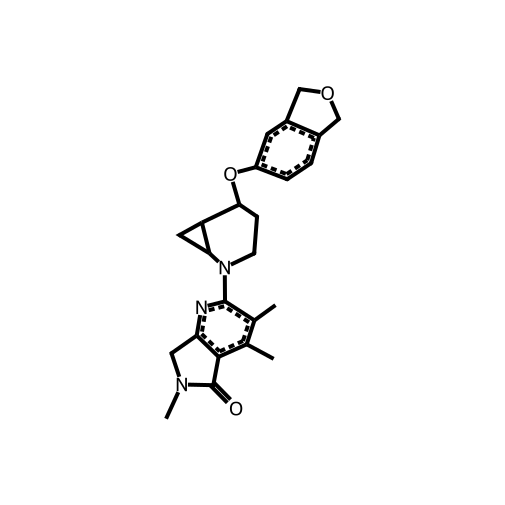 Cc1c(N2CCC(Oc3ccc4c(c3)COC4)C3CC32)nc2c(c1C)C(=O)N(C)C2